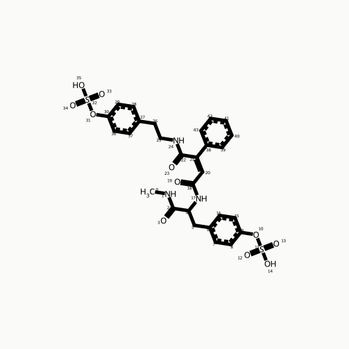 CNC(=O)C(Cc1ccc(OS(=O)(=O)O)cc1)NC(=O)/C=C(\C(=O)NCCc1ccc(OS(=O)(=O)O)cc1)c1ccccc1